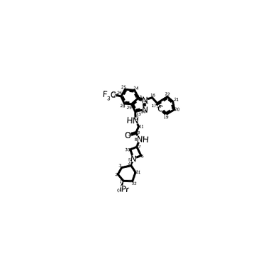 CC(C)[C@H]1CC[C@@H](N2CC(NC(=O)CNc3nn(Cc4ccccc4)c4ccc(C(F)(F)F)cc34)C2)CC1